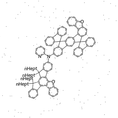 CCCCCCCC1(CCCCCCC)c2cc(N(c3ccc4c(c3)C3(c5ccccc5-c5ccccc53)c3cc5c(cc3-4)C3(c4ccccc4-c4ccccc43)c3ccc4oc6ccccc6c4c3-5)c3ccccn3)ccc2-c2c1c1c(c3c2oc2ccccc23)-c2ccccc2C1(CCCCCCC)CCCCCCC